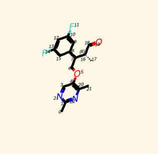 Cc1ncc(OCC(C2C=C(F)C=C(F)C2)[C@@H](C)C=O)c(C)n1